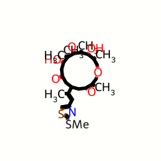 CSc1nc(C=C(C)C2CC(=O)CC(O)C(C)(C)C(=O)C(C)C(O)C(C)COCC3(C)OC3C2)cs1